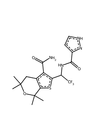 CC1(C)Cc2c(sc(C(NC(=O)c3cc[nH]n3)C(F)(F)F)c2C(N)=O)C(C)(C)O1